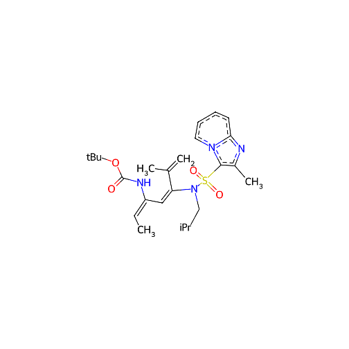 C=C(C)/C(=C\C(=C/C)NC(=O)OC(C)(C)C)N(CC(C)C)S(=O)(=O)c1c(C)nc2ccccn12